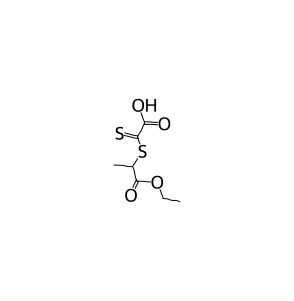 CCOC(=O)C(C)SC(=S)C(=O)O